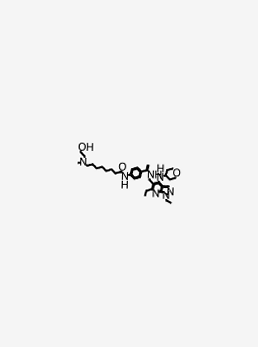 C=C(NCc1c(CC)nc2c(cnn2CC)c1NC1CCOCC1)c1ccc(NC(=O)CCCCCCCN(C)CCO)cc1